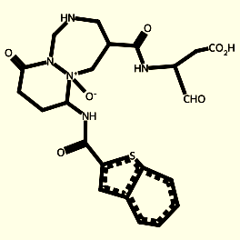 O=CC(CC(=O)O)NC(=O)C1CNCN2C(=O)CCC(NC(=O)c3cc4ccccc4s3)[N+]2([O-])C1